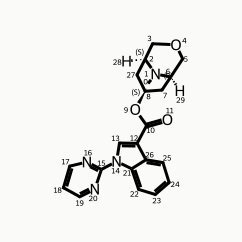 CN1[C@@H]2COC[C@H]1C[C@@H](OC(=O)c1cn(-c3ncccn3)c3ccccc13)C2